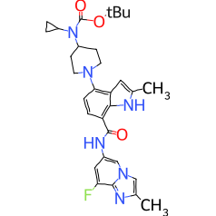 Cc1cn2cc(NC(=O)c3ccc(N4CCC(N(C(=O)OC(C)(C)C)C5CC5)CC4)c4cc(C)[nH]c34)cc(F)c2n1